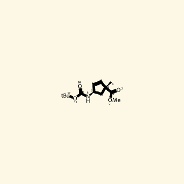 COC(=O)[C@@]1(C)C=C[C@H](NC(=O)OC(C)(C)C)C1